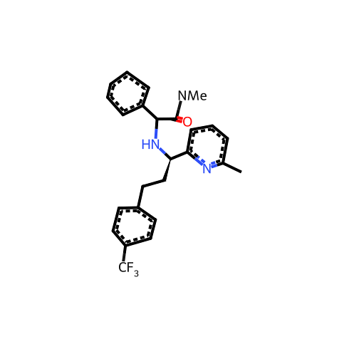 CNC(=O)C(N[C@H](CCc1ccc(C(F)(F)F)cc1)c1cccc(C)n1)c1ccccc1